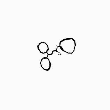 O=C(CCC(C1=CCCCCCCCC1)C1=CCCCCCCCC1)OC1=CCCCCCCCC1